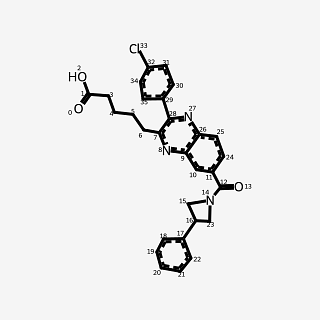 O=C(O)CCCCc1nc2cc(C(=O)N3CC(c4ccccc4)C3)ccc2nc1-c1ccc(Cl)cc1